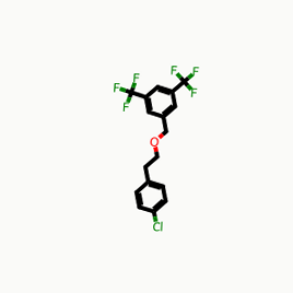 FC(F)(F)c1cc(COCCc2ccc(Cl)cc2)cc(C(F)(F)F)c1